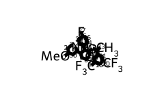 COC1CCNC(C2CCOC(OC(C)c3cc(C(F)(F)F)cc(C(F)(F)F)c3)C2c2ccc(F)cc2)C1